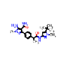 CC(c1ccc(-c2nn(C(C)C)c(N)c2C(N)=O)cc1)C(O)Nc1cc(C(C)(C)C(F)(F)F)n(C)n1